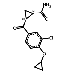 NC(=O)[C@H]1C[C@@H]1C(=O)c1ccc(OC2CC2)c(Cl)c1